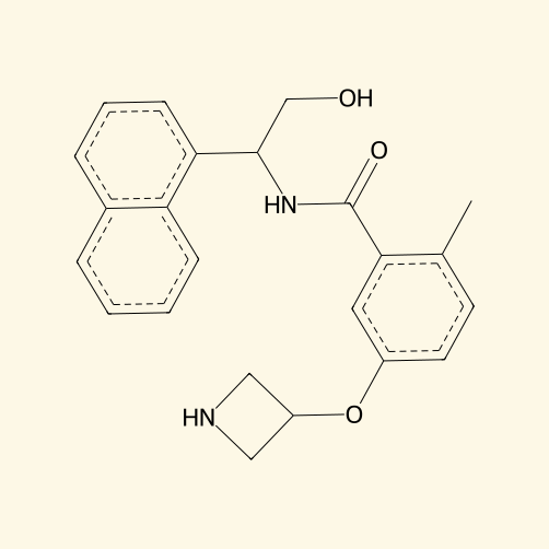 Cc1ccc(OC2CNC2)cc1C(=O)NC(CO)c1cccc2ccccc12